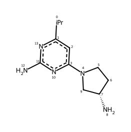 CC(C)c1cc(N2CC[C@H](N)C2)nc(N)n1